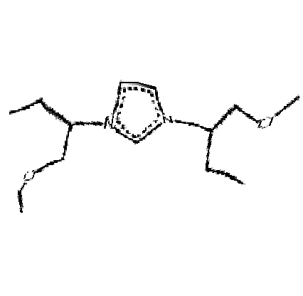 CCC(COC)n1cc[n+](C(CC)COC)c1